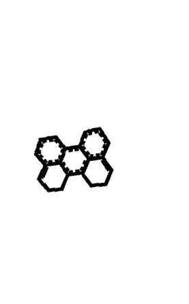 C1=c2cccc3c2c(c2c4c(cccc43)=CCC2)CC1